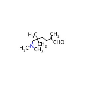 C=C([C]=O)CCC(C)(C)CN(C)C